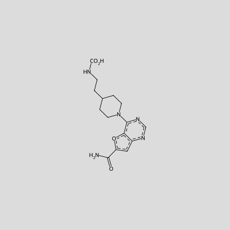 NC(=O)c1cc2ncnc(N3CCC(CCNC(=O)O)CC3)c2o1